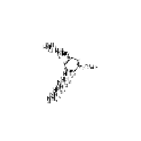 COc1cccc(Br)c1.N.N.N.N.N.N.N.N.N.N.N